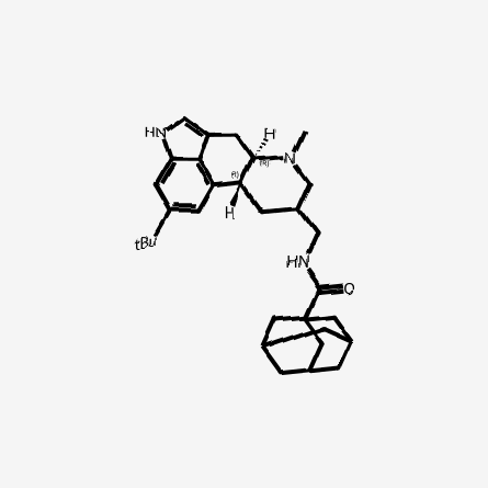 CN1CC(CNC(=O)C23CC4CC(CC(C4)C2)C3)C[C@@H]2c3cc(C(C)(C)C)cc4[nH]cc(c34)C[C@H]21